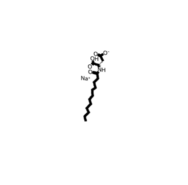 CCCCCCCCCCCC(=O)N[C@@H](CC(=O)[O-])C(=O)O.[Na+]